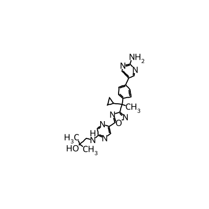 CC(C)(O)CNc1cnc(-c2nc(C(C)(c3ccc(-c4cnc(N)nc4)cc3)C3CC3)no2)cn1